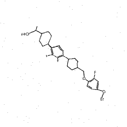 CCOc1ccc(OCC2CCC(c3ccc(C4CCC(C(C)O)CC4)c(F)c3F)CC2)c(F)c1